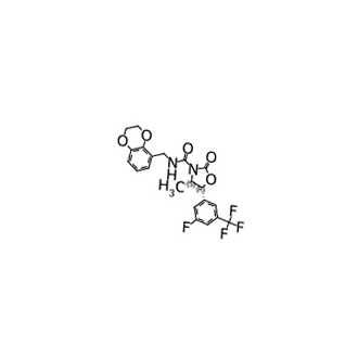 C[C@H]1[C@@H](c2cc(F)cc(C(F)(F)F)c2)OC(=O)N1C(=O)NCc1cccc2c1OCCO2